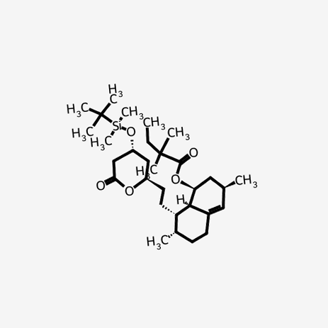 CCC(C)(C)C(=O)O[C@H]1C[C@@H](C)C=C2CC[C@H](C)[C@H](CC[C@@H]3C[C@@H](O[Si](C)(C)C(C)(C)C)CC(=O)O3)[C@H]21